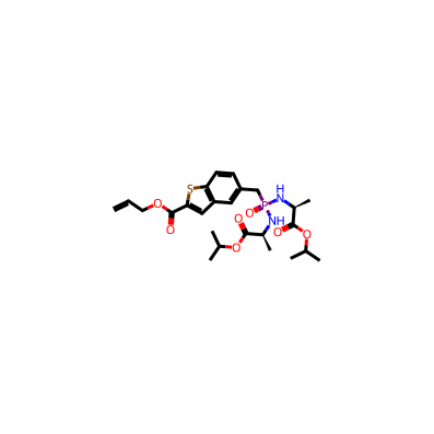 C=CCOC(=O)c1cc2cc(CP(=O)(N[C@@H](C)C(=O)OC(C)C)N[C@@H](C)C(=O)OC(C)C)ccc2s1